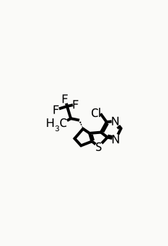 CC(C[C@H]1CCc2sc3ncnc(Cl)c3c21)C(F)(F)F